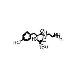 CC(C)(C)C(=O)NC(Cc1ccc(O)cc1)C(=O)NCCN